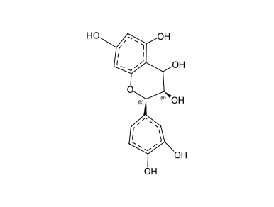 Oc1cc(O)c2c(c1)O[C@H](c1ccc(O)c(O)c1)[C@H](O)C2O